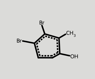 Cc1c(O)ccc(Br)c1Br